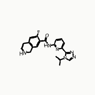 CC(C)n1cnnc1-c1cccc(NC(=O)c2cc3c(cc2F)CCNC3)n1